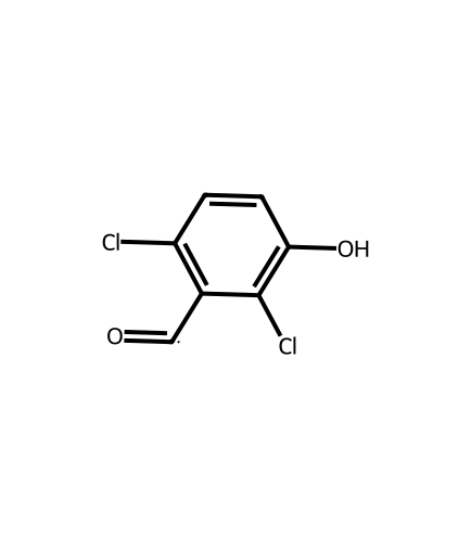 O=[C]c1c(Cl)ccc(O)c1Cl